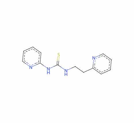 S=C(NCCc1ccccn1)Nc1ccccn1